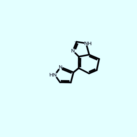 [c]1nc2c(-c3cc[nH]n3)cccc2[nH]1